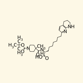 CC(C)(C)OC(=O)N1CCC(C)(C(=O)N[C@@H](CCCCCCCc2ccc3c(n2)NCCC3)C(=O)O)CC1